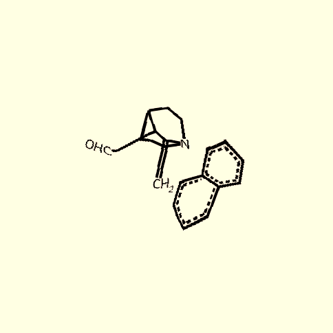 C=C1C(C=O)C2CCN1CC2.c1ccc2ccccc2c1